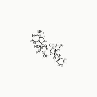 CC(C)CN(CC(=O)O)[P@@](=O)(OC[C@H]1O[C@@](O)(c2ccc3c(N)ncnn23)[C@H](F)[C@@H]1O)Oc1ccccc1